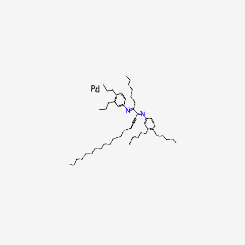 CCCCCCCCCCCCCCC#CC(=Nc1ccc(CCCCC)c(CCCCC)c1)C(CCCCCC)=Nc1ccc(CCC)c(CCC)c1.[Pd]